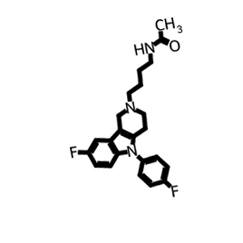 CC(=O)NCCCCN1CCc2c(c3cc(F)ccc3n2-c2ccc(F)cc2)C1